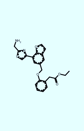 CCOC(=O)Cc1ccccc1OCc1cc(-c2csc(CN)n2)c2occc2c1